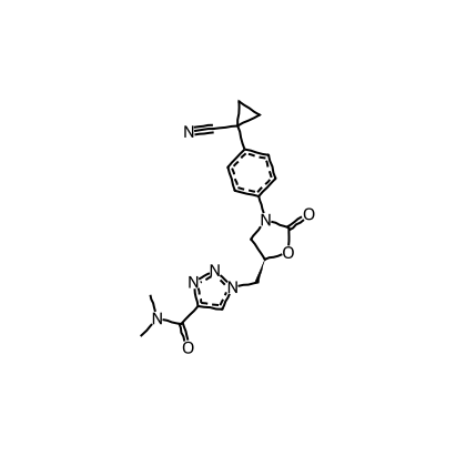 CN(C)C(=O)c1cn(C[C@H]2CN(c3ccc(C4(C#N)CC4)cc3)C(=O)O2)nn1